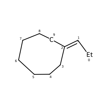 CC[C]=C1CCCCCCC1